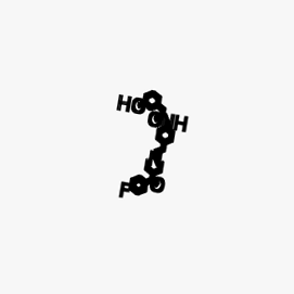 O=C(CC1CCCC(O)C1)NC1CCC(CCN2CCC(C(=O)c3ccc(F)cc3)CC2)CC1